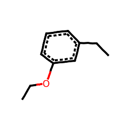 CCOc1cccc(CC)c1